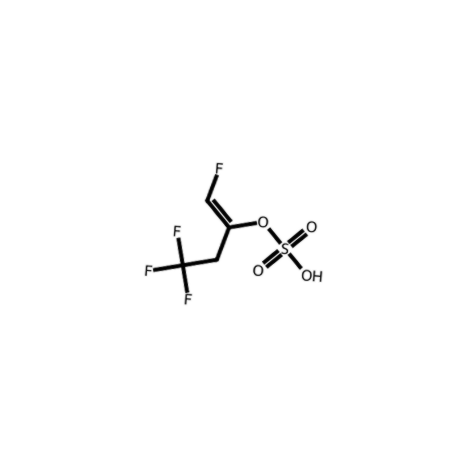 O=S(=O)(O)OC(=CF)CC(F)(F)F